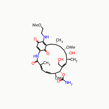 COCCNC1=C2C[C@H](C)C[C@H](OC)[C@H](O)[C@@H](C)/C=C(\CO)[C@H](OC(N)=O)[C@@H](OC)/C=C\C=C(/C)C(=O)NC(=CC1=O)C2=O